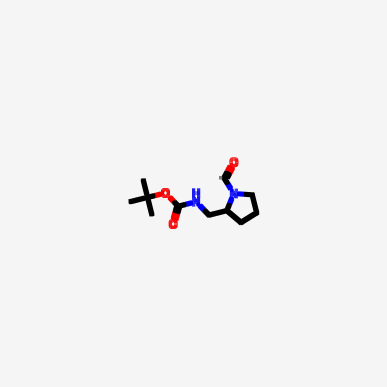 CC(C)(C)OC(=O)NCC1CCCN1[C]=O